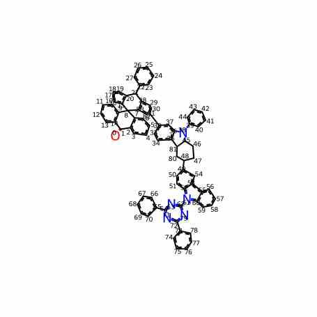 O=C1c2ccccc2C2(c3ccccc31)c1ccccc1C(c1ccccc1)c1ccc(-c3ccc4c(c3)N(c3ccccc3)C3CCC(c5ccc6c(c5)c5ccccc5n6-c5nc(-c6ccccc6)nc(-c6ccccc6)n5)CC43)cc12